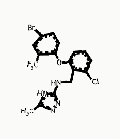 Cc1nnc(NCc2c(Cl)cccc2Oc2ccc(Br)cc2C(F)(F)F)[nH]1